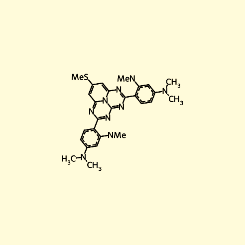 CNc1cc(N(C)C)ccc1C1=NC2=CC(SC)=CC3=NC(c4ccc(N(C)C)cc4NC)=NC(=N1)N23